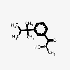 CC(C)C(C)(C)c1cccc(C(=O)N(C)O)c1